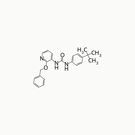 CC(C)(C)c1ccc(NC(=O)Nc2cccnc2OCc2ccccc2)cc1